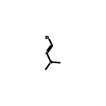 CCC=NN(C)C